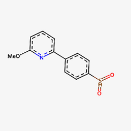 COc1cccc(-c2ccc([SH](=O)=O)cc2)n1